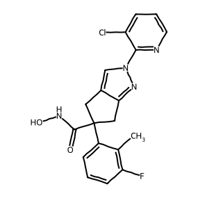 Cc1c(F)cccc1C1(C(=O)NO)Cc2cn(-c3ncccc3Cl)nc2C1